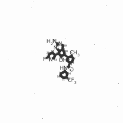 Cc1ccc(C(=O)Nc2cccc(C(F)(F)F)c2)cc1-c1cc2cnc(N)nc2c(-c2ccc(F)nc2)c1O